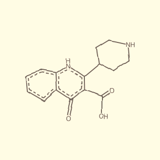 O=C(O)c1c(C2CCNCC2)[nH]c2ccccc2c1=O